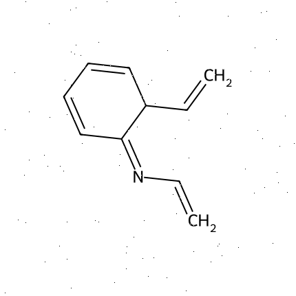 C=C/N=C1/C=CC=CC1C=C